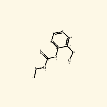 CCOC(=O)Oc1ccccc1CCl